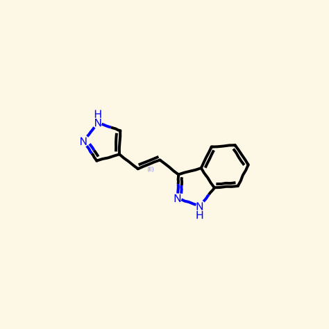 C(=C\c1n[nH]c2ccccc12)/c1cn[nH]c1